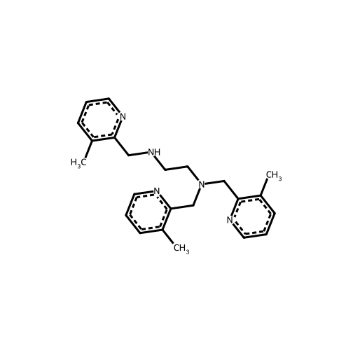 Cc1cccnc1CNCCN(Cc1ncccc1C)Cc1ncccc1C